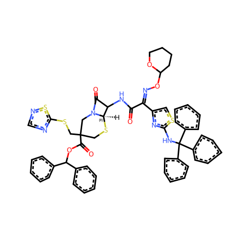 O=C(NC1C(=O)N2CC(CSc3ncns3)(C(=O)OC(c3ccccc3)c3ccccc3)CS[C@H]12)C(=NOC1CCCCO1)c1csc(NC(c2ccccc2)(c2ccccc2)c2ccccc2)n1